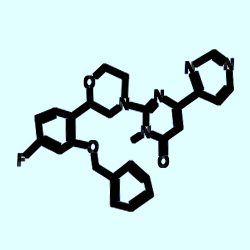 Cn1c(N2CCOC(c3ccc(F)cc3OCc3ccccc3)C2)nc(-c2ccncn2)cc1=O